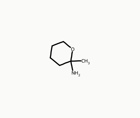 CC1(N)CCCCO1